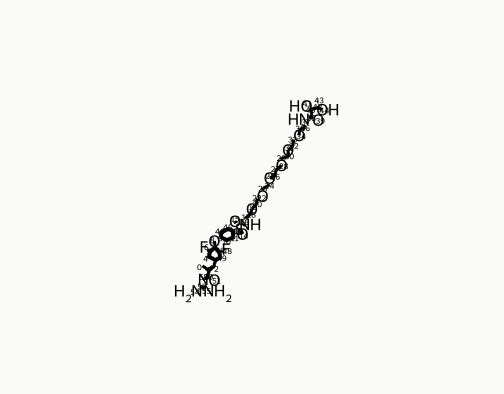 C/C(=C\c1cc(F)c(Oc2ccc(S(=O)(=O)NCCOCCOCCOCCOCCOCCOCCNC(=O)[C@H](O)[C@H](C)O)cc2)c(F)c1)C(=O)N=C(N)N